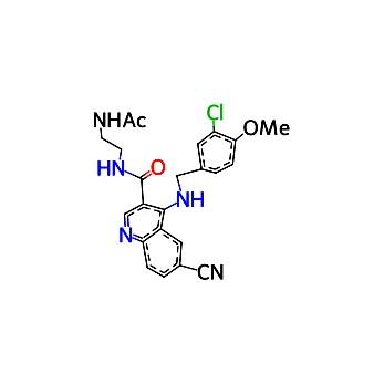 COc1ccc(CNc2c(C(=O)NCCNC(C)=O)cnc3ccc(C#N)cc23)cc1Cl